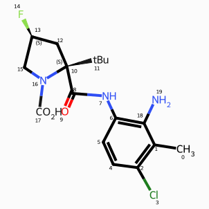 Cc1c(Cl)ccc(NC(=O)[C@@]2(C(C)(C)C)C[C@H](F)CN2C(=O)O)c1N